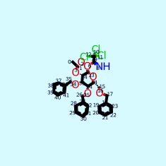 CC(=O)O[C@@H]1C(OC(=N)C(Cl)(Cl)Cl)O[C@H](COCc2ccccc2)[C@@H](OCc2ccccc2)[C@@H]1OCc1ccccc1